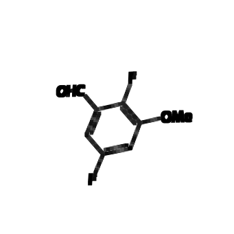 COc1cc(F)cc(C=O)c1F